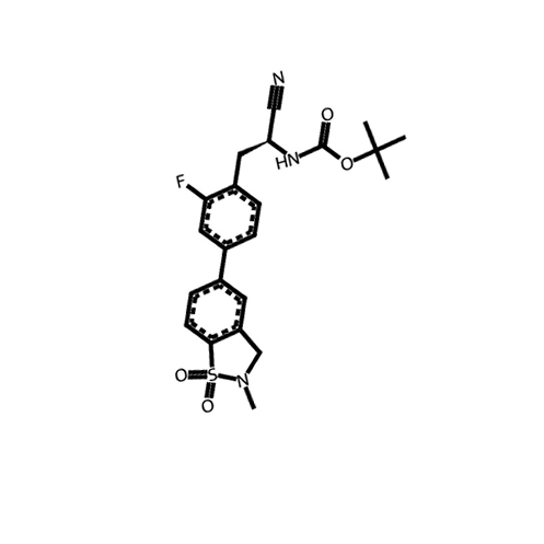 CN1Cc2cc(-c3ccc(C[C@@H](C#N)NC(=O)OC(C)(C)C)c(F)c3)ccc2S1(=O)=O